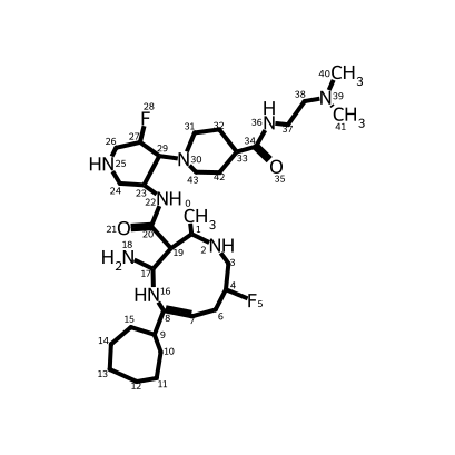 CC1NCC(F)C/C=C(/C2CCCCCC2)NC(N)C1C(=O)NC1CNCC(F)C1N1CCC(C(=O)NCCN(C)C)CC1